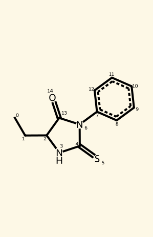 CCC1NC(=S)N(c2ccccc2)C1=O